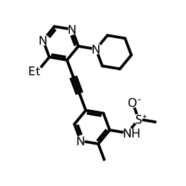 CCc1ncnc(N2CCCCC2)c1C#Cc1cnc(C)c(N[S+](C)[O-])c1